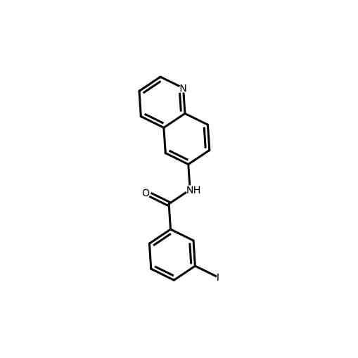 O=C(Nc1ccc2ncccc2c1)c1cccc(I)c1